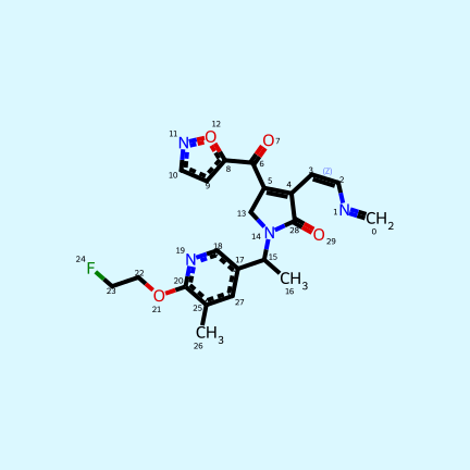 C=N/C=C\C1=C(C(=O)c2ccno2)CN(C(C)c2cnc(OCCF)c(C)c2)C1=O